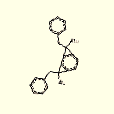 CCC(C)C1(Cc2ccccc2)c2ccc3c(c21)C3(Cc1ccccc1)C(C)CC